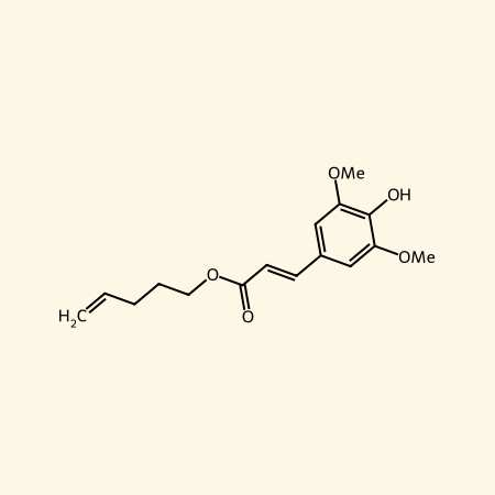 C=CCCCOC(=O)/C=C/c1cc(OC)c(O)c(OC)c1